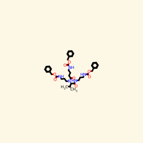 CC(C)C(C(=O)NCCCNC(=O)OCc1ccccc1)N(CCCNC(=O)OCc1ccccc1)C(=O)CCCNC(=O)OCc1ccccc1